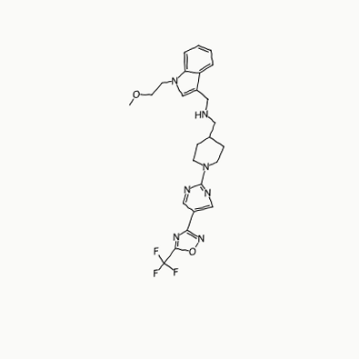 COCCn1cc(CNCC2CCN(c3ncc(-c4noc(C(F)(F)F)n4)cn3)CC2)c2ccccc21